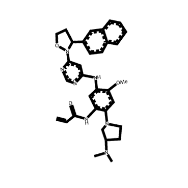 C=CC(=O)Nc1cc(Nc2cc(N3OCCC3c3ccc4ccccc4c3)ncn2)c(OC)cc1N1CCC(N(C)C)C1